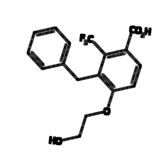 O=C(O)c1ccc(OCCO)c(Cc2ccccc2)c1C(F)(F)F